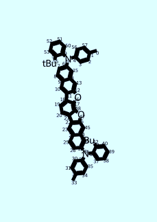 Cc1ccc(N(c2ccc3cc4c(cc3c2)oc2c4ccc3c4cc5ccc(N(c6ccc(C)cc6)c6ccccc6C(C)(C)C)cc5cc4oc32)c2ccccc2C(C)(C)C)cc1